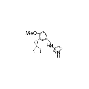 COc1ccc(CNc2cc[nH]n2)cc1OC1CCCC1